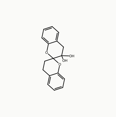 OC1(O)Cc2ccccc2OC12CCc1ccccc1O2